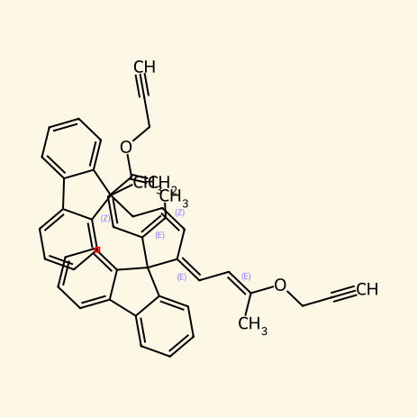 C#CCOC(=C)/C=C\C(=C/C)C1(C(/C=C\CC2(C)c3ccccc3-c3ccccc32)=C/C=C(\C)OCC#C)c2ccccc2-c2ccccc21